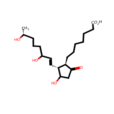 C[C@@H](O)CCCC(O)/C=C/[C@H]1C(O)CC(=O)[C@@H]1CCCCCCC(=O)O